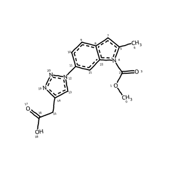 COC(=O)n1c(C)cc2ccc(-n3cc(CC(=O)O)nn3)cc21